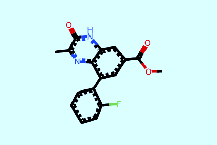 COC(=O)c1cc(-c2ccccc2F)c2nc(C)c(=O)[nH]c2c1